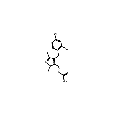 Cc1nn(C)c(OCC(=O)C(C)(C)C)c1Cc1ccc(Cl)cc1Cl